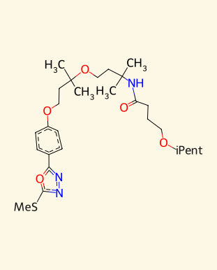 CCCC(C)OCCCC(=O)NC(C)(C)CCOC(C)(C)CCOc1ccc(-c2nnc(SC)o2)cc1